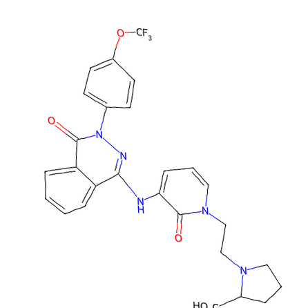 O=C(O)C1CCCN1CCn1cccc(Nc2nn(-c3ccc(OC(F)(F)F)cc3)c(=O)c3ccccc23)c1=O